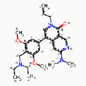 C=CCn1cc(-c2cc(OC)c(CN(CC)CC)c(OC)c2)c2cc(N(C)C)ncc2c1=O